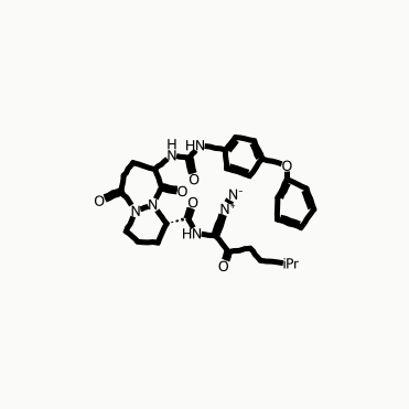 CC(C)CCC(=O)C(=[N+]=[N-])NC(=O)[C@@H]1CCCN2C(=O)CCC(NC(=O)Nc3ccc(Oc4ccccc4)cc3)C(=O)N12